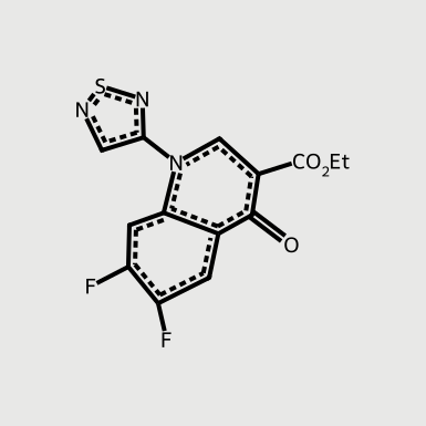 CCOC(=O)c1cn(-c2cnsn2)c2cc(F)c(F)cc2c1=O